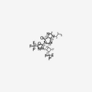 CCCn1cnc2c(=O)n(-c3nnc(C(F)(F)F)o3)c([C@H]3C[C@@H](C(F)(F)F)C3)nc21